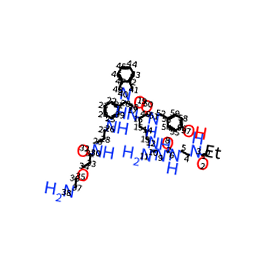 CCC(=O)NCCNC(=O)/N=C(/N)NCCC[C@@H](NC(=O)[C@H](c1cccc(NCCCNC(=O)CCOCCN)c1)N1Cc2ccccc2C1)C(=O)NCc1ccc(O)cc1